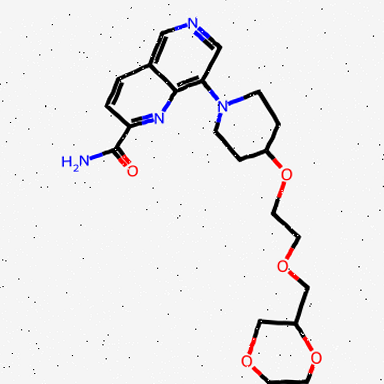 NC(=O)c1ccc2cncc(N3CCC(OCCOCC4COCCO4)CC3)c2n1